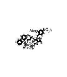 CCCC(CCO[Si](c1ccccc1)(c1ccccc1)C(C)(C)C)Nc1nc(NC(=O)OC)nc2c(I)nn(Cc3ccc(C(=O)O)cc3OC)c12